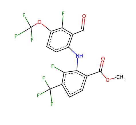 COC(=O)c1ccc(C(F)(F)F)c(F)c1Nc1ccc(OC(F)(F)F)c(F)c1C=O